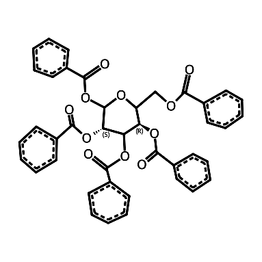 O=C(OCC1OC(OC(=O)c2ccccc2)[C@@H](OC(=O)c2ccccc2)C(OC(=O)c2ccccc2)[C@@H]1OC(=O)c1ccccc1)c1ccccc1